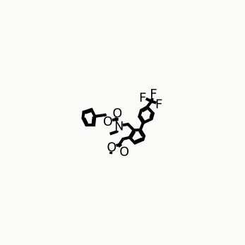 CCN(Cc1c(CC(=O)OC)cccc1-c1ccc(C(F)(F)F)cc1)C(=O)OCc1ccccc1